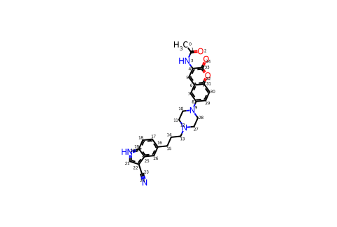 CC(=O)Nc1cc2cc(N3CCN(CCCc4ccc5[nH]cc(C#N)c5c4)CC3)ccc2oc1=O